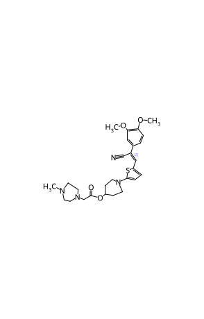 COc1ccc(/C(C#N)=C/c2ccc(N3CCC(OC(=O)CN4CCN(C)CC4)CC3)s2)cc1OC